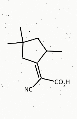 CC1CC(C)(C)C/C1=C(\C#N)C(=O)O